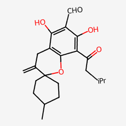 C=C1Cc2c(O)c(C=O)c(O)c(C(=O)CC(C)C)c2OC12CCC(C)CC2